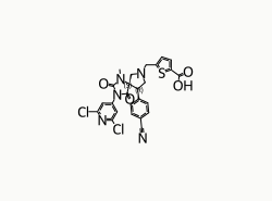 CN1C(=O)N(c2cc(Cl)nc(Cl)c2)C(=O)[C@]12CN(Cc1ccc(C(=O)O)s1)C[C@H]2c1ccc(C#N)cc1